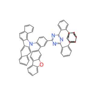 c1ccc(-c2ccccc2-c2nc(-c3ccc(-n4c5cc6ccccc6cc5c5ccc6ccccc6c54)c(-c4ccc5c(c4)oc4ccccc45)c3)nc(-c3ccccc3-c3ccccc3)n2)cc1